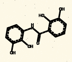 O=C(Nc1cccc(O)c1O)c1cccc(O)c1O